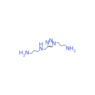 NCCCNCc1cn(CCCN)nn1